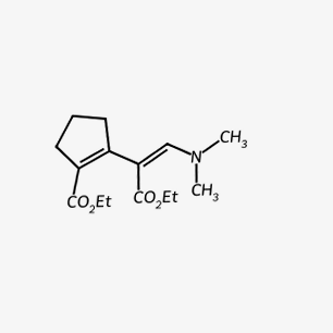 CCOC(=O)C1=C(/C(=C/N(C)C)C(=O)OCC)CCC1